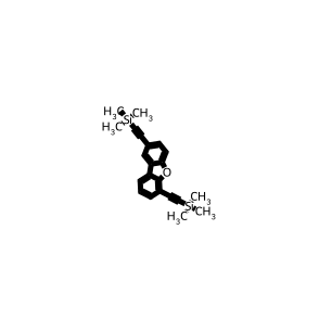 C[Si](C)(C)C#Cc1ccc2oc3c(C#C[Si](C)(C)C)cccc3c2c1